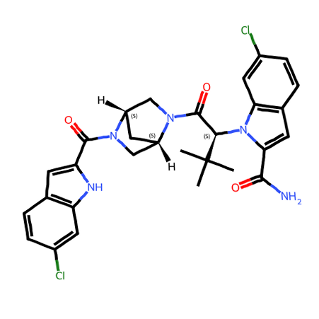 CC(C)(C)[C@@H](C(=O)N1C[C@@H]2C[C@H]1CN2C(=O)c1cc2ccc(Cl)cc2[nH]1)n1c(C(N)=O)cc2ccc(Cl)cc21